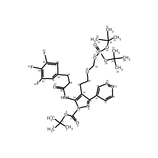 CC(C)(C)OC(=O)n1nc(-c2ccnnc2)c(CCOCOP(=O)(OC(C)(C)C)OC(C)(C)C)c1NC(=O)CCc1cc(F)c(F)c(F)c1